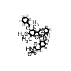 Cc1c(C)c2c(c(C)c1OCc1ccccc1)C(CN1CCC[C@H]1COc1ccc(C=C3SC(=O)NC3=O)cc1)C(C)(C)O2